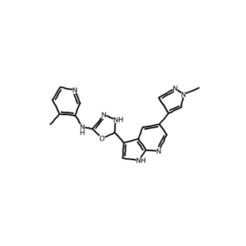 Cc1ccncc1NC1=NNC(c2c[nH]c3ncc(-c4cnn(C)c4)cc23)O1